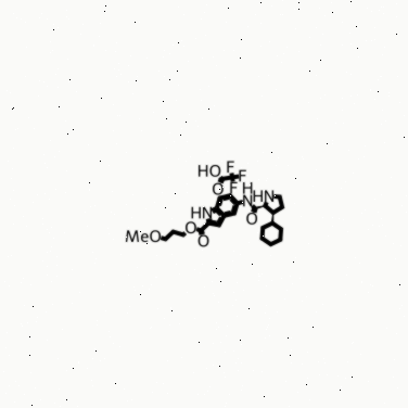 COCCCOC(=O)c1cc2cc(NC(=O)[C@H]3NCC[C@H]3C3CCCCC3)ccc2[nH]1.O=C(O)C(F)(F)F